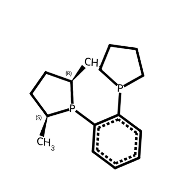 C[C@@H]1CC[C@H](C)P1c1ccccc1P1CCCC1